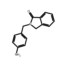 Nc1ccc(CN2Cc3ccccc3C2=O)cc1